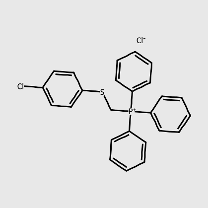 Clc1ccc(SC[P+](c2ccccc2)(c2ccccc2)c2ccccc2)cc1.[Cl-]